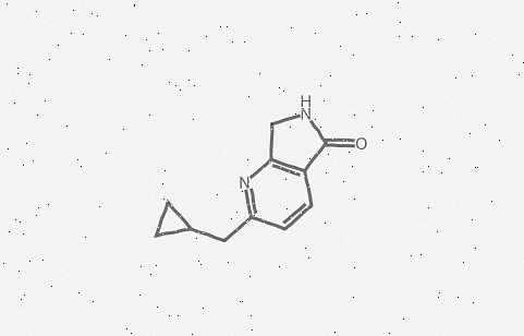 O=C1NCc2nc(CC3CC3)ccc21